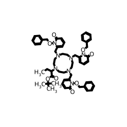 CCC(C(=O)OC(C)(C)C)N1CCN(Cc2cccc(=O)n2OCc2ccccc2)CCN(Cc2cccc(=O)n2OCc2ccccc2)CCN(Cc2cccc(=O)n2OCc2ccccc2)CC1